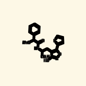 COC(C(=O)NC(Cc1c(O)noc1-c1cccs1)C(=O)O)c1ccccc1